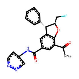 CNC(=O)c1cc(C(=O)Nc2ccnnc2)cc2c1O[C@H](CF)[C@H]2c1ccccc1